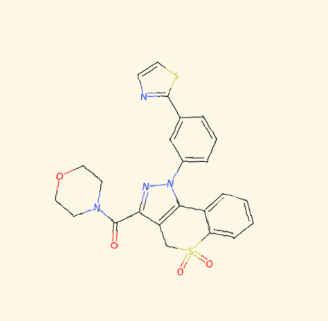 O=C(c1nn(-c2cccc(-c3nccs3)c2)c2c1CS(=O)(=O)c1ccccc1-2)N1CCOCC1